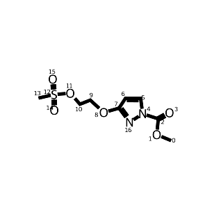 COC(=O)n1ccc(OCCOS(C)(=O)=O)n1